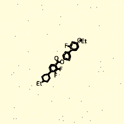 CCOc1ccc(-c2ccc(OC(=O)c3ccc(C4CCC(CC)CC4)c(F)c3F)cc2)c(F)c1